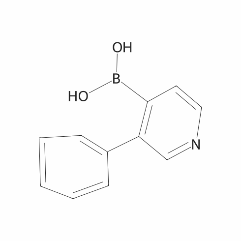 OB(O)c1ccncc1-c1ccccc1